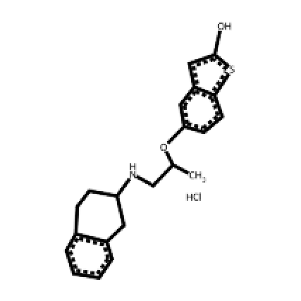 CC(CNC1CCc2ccccc2C1)Oc1ccc2sc(O)cc2c1.Cl